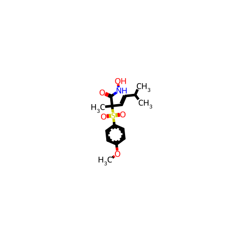 COc1ccc(S(=O)(=O)C(C)(C=CC(C)C)C(=O)NO)cc1